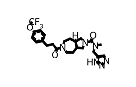 CN(Cc1cnn[nH]1)C(=O)N1CC2CCN(C(=O)CCc3ccc(OC(F)(F)F)cc3)CC[C@@H]2C1